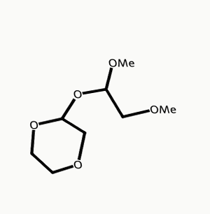 COCC(OC)OC1COCCO1